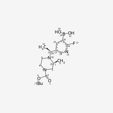 C[C@H]1CN(C(=O)OC(C)(C)C)CCN1[C@@H](C)c1cnc(F)c(B(O)O)c1